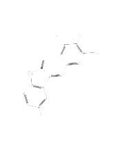 Cc1c(Br)cc(C=C2C(=O)Nc3ccc(I)cc32)cc1Br